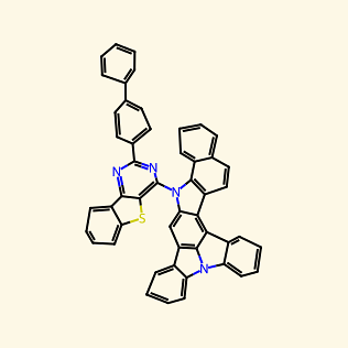 c1ccc(-c2ccc(-c3nc(-n4c5cc6c7ccccc7n7c8ccccc8c(c5c5ccc8ccccc8c54)c67)c4sc5ccccc5c4n3)cc2)cc1